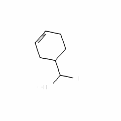 CC(C=O)C1CC=CCC1